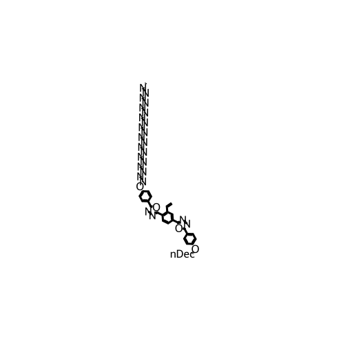 C=Cc1cc(-c2nnc(-c3ccc(OCCCCCCCCCC)cc3)o2)ccc1-c1nnc(-c2ccc(ON=NN=NN=NN=NN=NN=NN=NN=NN=NN=NC)cc2)o1